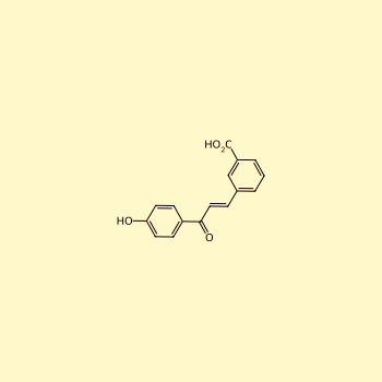 O=C(O)c1cccc(C=CC(=O)c2ccc(O)cc2)c1